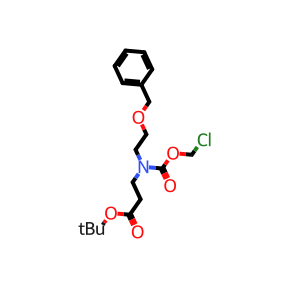 CC(C)(C)OC(=O)CCN(CCOCc1ccccc1)C(=O)OCCl